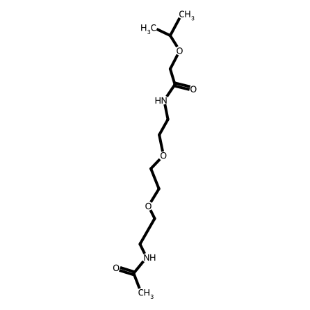 CC(=O)NCCOCCOCCNC(=O)COC(C)C